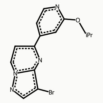 CC(C)Oc1cc(-c2ccn3ncc(Br)c3n2)ccn1